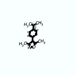 Cc1noc(C)c1-c1ccc(C(C)C)cc1